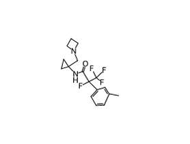 Cc1cccc(C(F)(C(=O)NC2(CN3CCC3)CC2)C(F)(F)F)c1